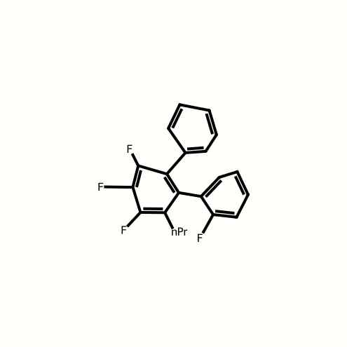 CCCc1c(F)c(F)c(F)c(-c2ccccc2)c1-c1ccccc1F